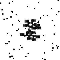 O=C(CO)C(O)C(O)C(O)CO.O=P(O)(O)O[C@H]1O[C@H](CO)[C@@H](O)[C@H](O)[C@H]1O